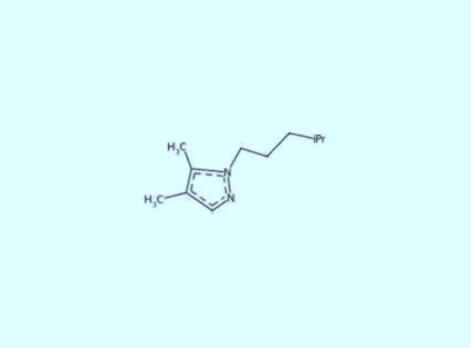 Cc1[c]nn(CCCC(C)C)c1C